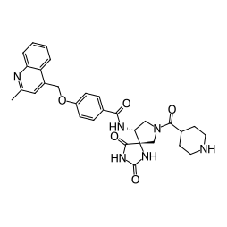 Cc1cc(COc2ccc(C(=O)N[C@@H]3CN(C(=O)C4CCNCC4)C[C@]34NC(=O)NC4=O)cc2)c2ccccc2n1